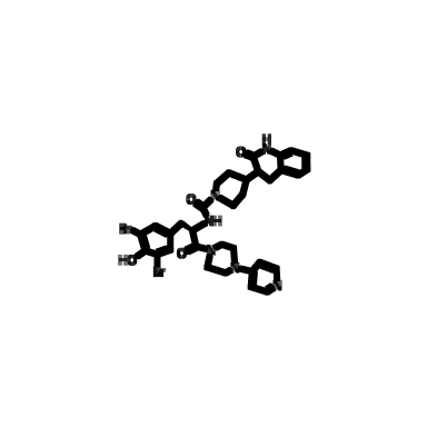 O=C1Nc2ccccc2CC1C1CCN(C(=O)N[C@H](Cc2cc(Br)c(O)c(Br)c2)C(=O)N2CCN(c3ccncc3)CC2)CC1